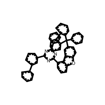 c1ccc(-c2cccc(-c3nc(-c4ccccc4)nc(-c4cccc5oc6ccc(C7(c8ccccc8)c8ccccc8-c8ccccc87)cc6c45)n3)c2)cc1